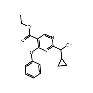 CCOC(=O)c1cnc(C(O)C2CC2)nc1Oc1ccccc1